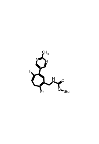 CCC1=C(CNC(=O)OC(C)(C)C)C=C(c2cnc(C)nc2)C(F)=CC1